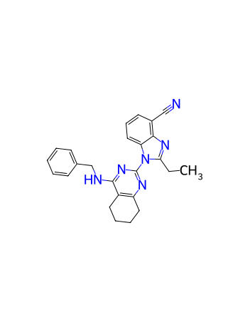 CCc1nc2c(C#N)cccc2n1-c1nc2c(c(NCc3ccccc3)n1)CCCC2